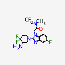 CN(CC(F)(F)F)C(=O)Cn1c(N2CCC(F)(F)C(N)C2)nc2cc(F)ccc21